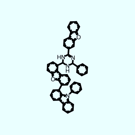 c1ccc(C2N=C(c3ccc4c(c3)oc3ccccc34)NC(c3cccc4oc5c(-c6cccc7c8ccccc8n(-c8ccccc8)c67)cccc5c34)N2)cc1